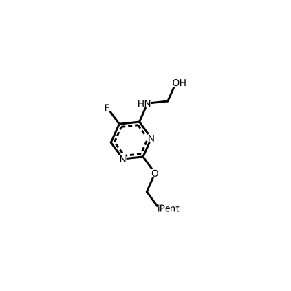 CCCC(C)COc1ncc(F)c(NCO)n1